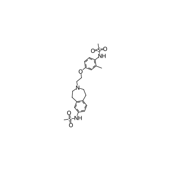 Cc1cc(OCCN2CCc3ccc(NS(C)(=O)=O)cc3CC2)ccc1NS(C)(=O)=O